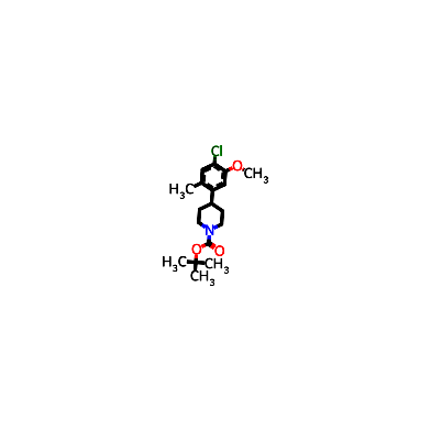 COc1cc(C2CCN(C(=O)OC(C)(C)C)CC2)c(C)cc1Cl